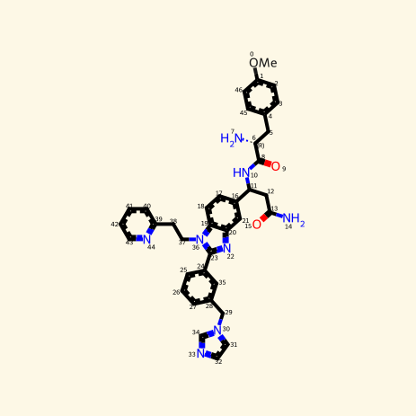 COc1ccc(C[C@@H](N)C(=O)NC(CC(N)=O)c2ccc3c(c2)nc(-c2cccc(Cn4ccnc4)c2)n3CCc2ccccn2)cc1